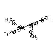 CCCCOC(=O)CCCCCCCC(=O)OCCC(CCOC(=O)CCCCCCCC(=O)OCC(COC(=O)CCCCCC(=O)OCCCC)OC(=O)CCCCCCCC(=O)OCCCC)OC(=O)CCCCCCCC(=O)OCCCC